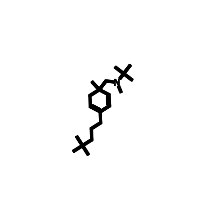 CN(CC1(C)C=CC(CCCC(C)(C)C)=CC1)C(C)(C)C